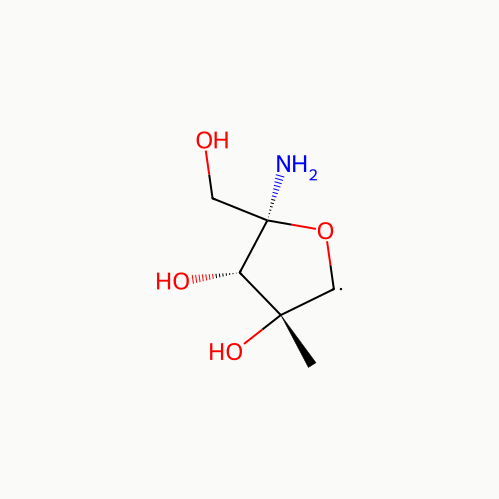 C[C@]1(O)[CH]O[C@](N)(CO)[C@H]1O